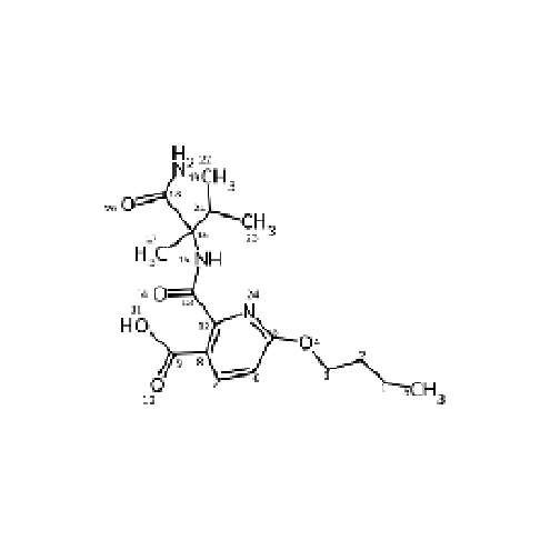 CCCCOc1ccc(C(=O)O)c(C(=O)NC(C)(C(N)=O)C(C)C)n1